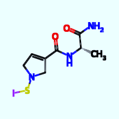 C[C@H](NC(=O)C1=CCN(SI)C1)C(N)=O